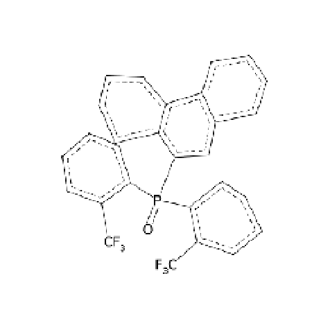 O=P(c1ccccc1C(F)(F)F)(c1ccccc1C(F)(F)F)c1cc2ccccc2c2ccccc12